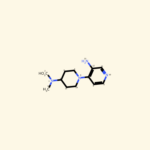 CN(C(=O)O)C1CCN(c2ccncc2N)CC1